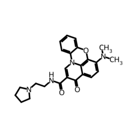 CN(C)c1ccc2c(=O)c(C(=O)NCCN3CCCC3)cn3c2c1Oc1ccccc1-3